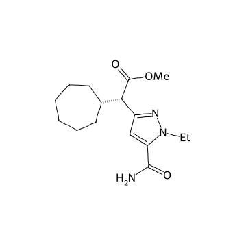 CCn1nc([C@@H](C(=O)OC)C2CCCCCC2)cc1C(N)=O